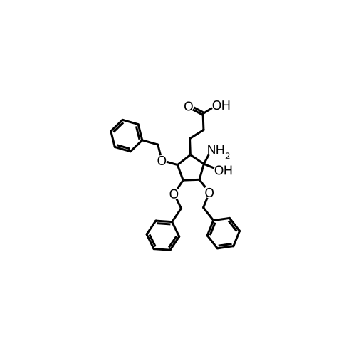 NC1(O)C(CCC(=O)O)C(OCc2ccccc2)C(OCc2ccccc2)C1OCc1ccccc1